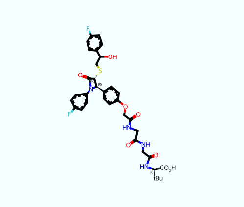 CC(C)(C)[C@@H](NC(=O)CNC(=O)CNC(=O)COc1ccc([C@@H]2[C@@H](SCC(O)c3ccc(F)cc3)C(=O)N2c2ccc(F)cc2)cc1)C(=O)O